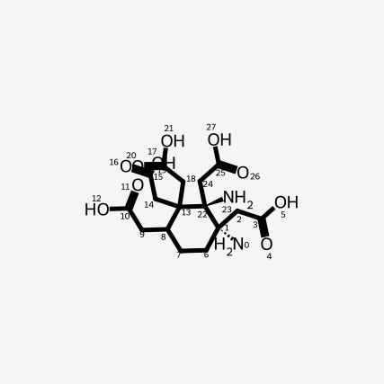 N[C@]1(CC(=O)O)CCC(CC(=O)O)C(CC(=O)O)(CC(=O)O)[C@]1(N)CC(=O)O